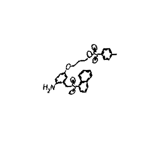 Cc1ccc(S(=O)(=O)OCCCOc2ccc(N)c(CS(=O)(=O)c3cccc4ccccc34)c2)cc1